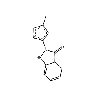 Cc1csc(N2NC3=CC=CCC3C2=O)c1